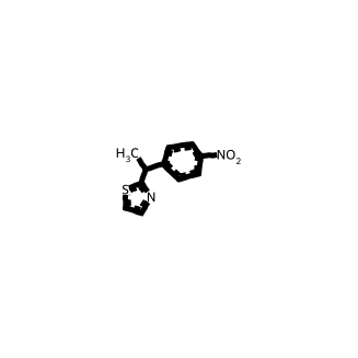 CC(c1ccc([N+](=O)[O-])cc1)c1nccs1